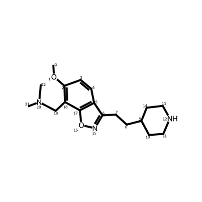 COc1ccc2c(CCC3CCNCC3)noc2c1CN(C)C